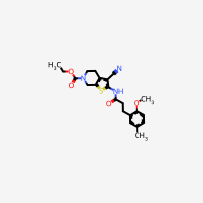 CCOC(=O)N1CCc2c(sc(NC(=O)CCc3cc(C)ccc3OC)c2C#N)C1